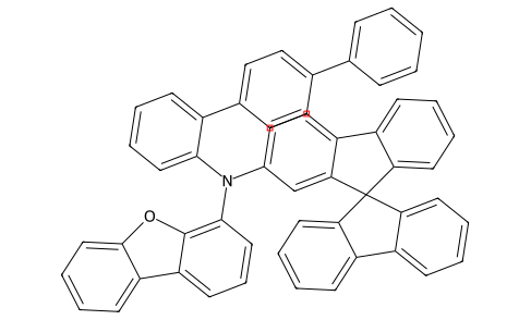 c1ccc(-c2ccc(-c3ccccc3N(c3ccc4c(c3)C3(c5ccccc5-c5ccccc53)c3ccccc3-4)c3cccc4c3oc3ccccc34)cc2)cc1